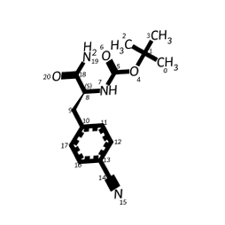 CC(C)(C)OC(=O)N[C@@H](Cc1ccc(C#N)cc1)C(N)=O